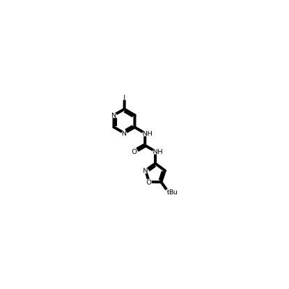 CC(C)(C)c1cc(NC(=O)Nc2cc(I)ncn2)no1